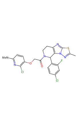 CNc1ccc(OCC(=O)N2CCc3nc4sc(C)nn4c3C2c2ccc(Cl)cc2F)c(Cl)n1